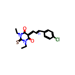 CCN1C(=O)C(=C/C=C/c2ccc(Cl)cc2)C(=O)N(CC)C1=S